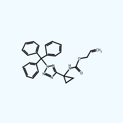 C=CCOC(=O)NC1(c2nnn(C(c3ccccc3)(c3ccccc3)c3ccccc3)n2)CC1